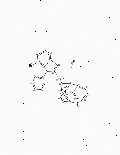 Brc1cccc2c1C(c1ccccc1)[C]([Zr+2][C]1=Cc3c4cccc3C1c1ccc(cc1)S4)=C2.[F-].[F-]